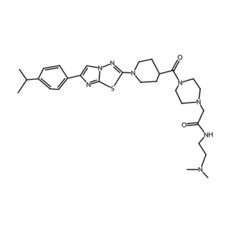 CC(C)c1ccc(-c2cn3nc(N4CCC(C(=O)N5CCN(CC(=O)NCCN(C)C)CC5)CC4)sc3n2)cc1